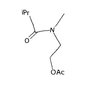 CC(=O)OCCN(C)C(=O)C(C)C